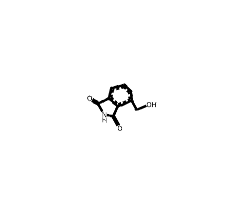 O=C1NC(=O)c2c(CO)cccc21